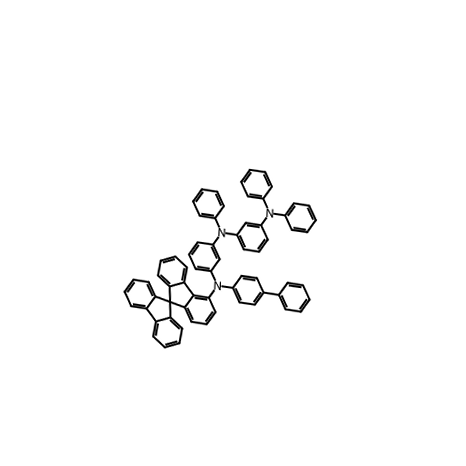 c1ccc(-c2ccc(N(c3cccc(N(c4ccccc4)c4cccc(N(c5ccccc5)c5ccccc5)c4)c3)c3cccc4c3-c3ccccc3C43c4ccccc4-c4ccccc43)cc2)cc1